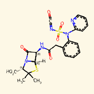 CC1(C)S[C@@H]2[C@H](NC(=O)Cc3ccccc3N(c3ccccn3)S(=O)(=O)N=C=O)C(=O)N2[C@H]1C(=O)O